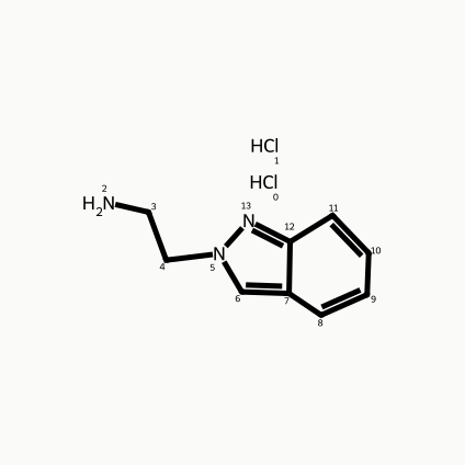 Cl.Cl.NCCn1cc2ccccc2n1